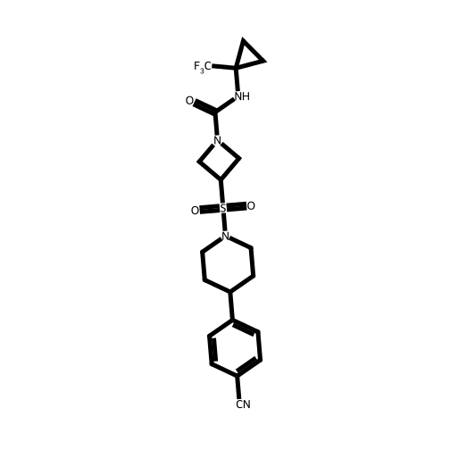 N#Cc1ccc(C2CCN(S(=O)(=O)C3CN(C(=O)NC4(C(F)(F)F)CC4)C3)CC2)cc1